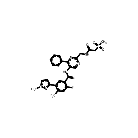 Cn1ccc(-c2cc(C(=O)Nc3cnc(CNC(=O)CS(C)(=O)=O)nc3-c3ccccc3)c(F)cc2C(F)(F)F)n1